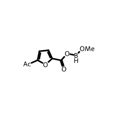 COBOC(=O)c1ccc(C(C)=O)o1